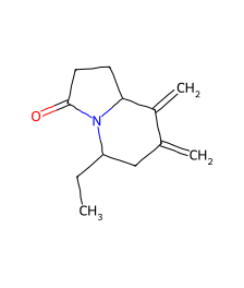 C=C1CC(CC)N2C(=O)CCC2C1=C